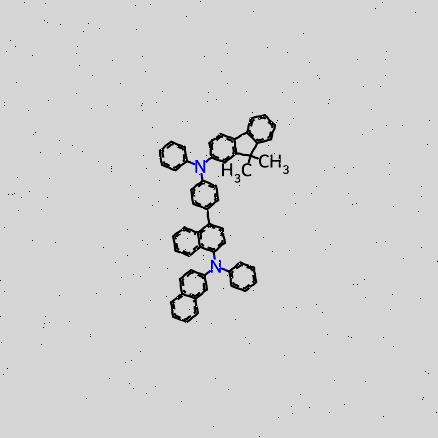 CC1(C)c2ccccc2-c2ccc(N(c3ccccc3)c3ccc(-c4ccc(N(c5ccccc5)c5ccc6ccccc6c5)c5ccccc45)cc3)cc21